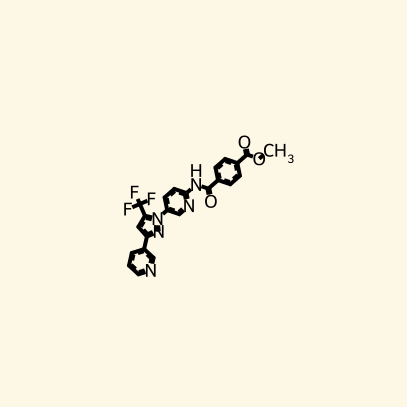 COC(=O)c1ccc(C(=O)Nc2ccc(-n3nc(-c4cccnc4)cc3C(F)(F)F)cn2)cc1